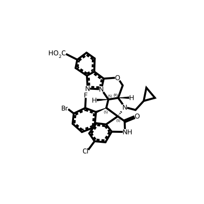 O=C(O)c1ccc2c3n(nc2c1)[C@@H]1[C@H](CO3)N(CC2CC2)[C@@]2(C(=O)Nc3cc(Cl)ccc32)[C@H]1c1cccc(Br)c1F